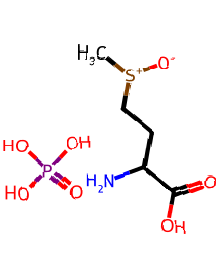 C[S+]([O-])CCC(N)C(=O)O.O=P(O)(O)O